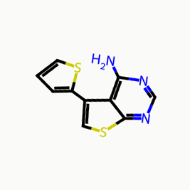 Nc1ncnc2scc(-c3cccs3)c12